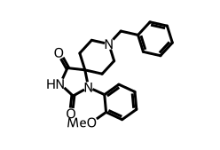 COc1ccccc1N1C(=O)NC(=O)C12CCN(Cc1ccccc1)CC2